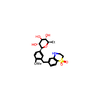 CC[C@H]1O[C@@H](c2ccc(OC)c(Cc3ccc4c(c3)NCCS4(=O)=O)c2)[C@H](O)[C@@H](O)[C@@H]1O